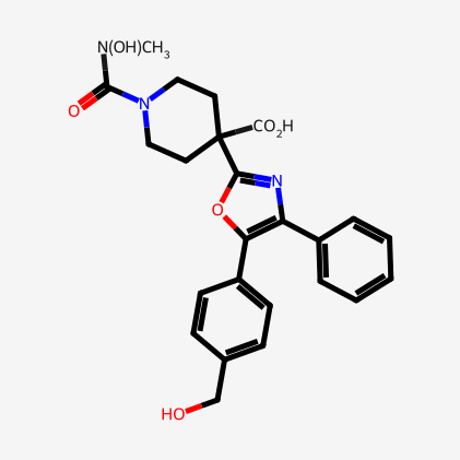 CN(O)C(=O)N1CCC(C(=O)O)(c2nc(-c3ccccc3)c(-c3ccc(CO)cc3)o2)CC1